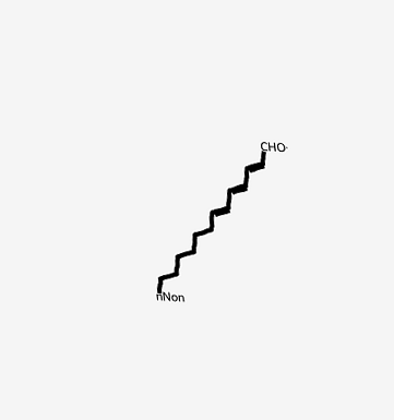 CCCCCCCCCCCCCCCC=CC=CC=C[C]=O